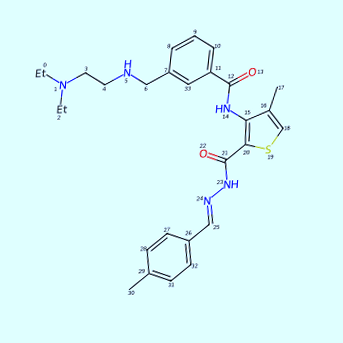 CCN(CC)CCNCc1cccc(C(=O)Nc2c(C)csc2C(=O)NN=Cc2ccc(C)cc2)c1